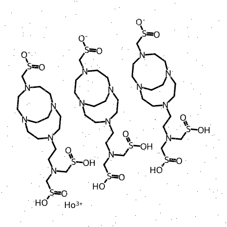 O=S([O-])CN1CCN2CCN(CCN(CCN(CS(=O)O)CS(=O)O)CC2)CC1.O=S([O-])CN1CCN2CCN(CCN(CCN(CS(=O)O)CS(=O)O)CC2)CC1.O=S([O-])CN1CCN2CCN(CCN(CCN(CS(=O)O)CS(=O)O)CC2)CC1.[Ho+3]